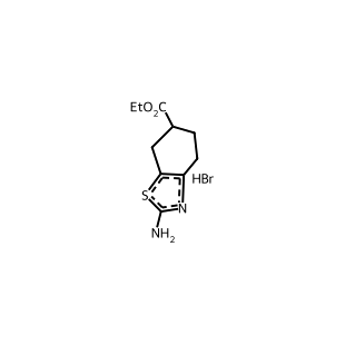 Br.CCOC(=O)C1CCc2nc(N)sc2C1